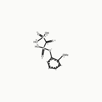 CSc1ccccc1OP(=O)(O)C(=S)P(=O)(O)O